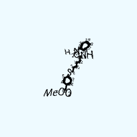 COC(=O)c1ccc(SCCCCCC(=O)Nc2ccccc2N)cc1